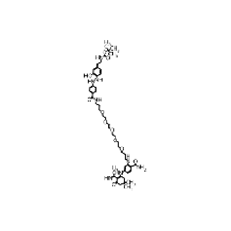 CC(=N)C1=C(Nc2ccc(C(N)=O)c(NCCCOCCOCCOCCOCCOCCCNC(=O)c3ccc(NNc4ccc(CCNC(=O)OC(C)(C)C)cc4O)cc3)c2)CC(C)(C)CC1=O